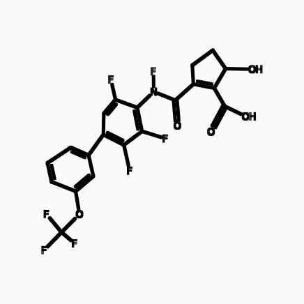 O=C(O)C1=C(C(=O)N(F)c2c(F)cc(-c3cccc(OC(F)(F)F)c3)c(F)c2F)CCC1O